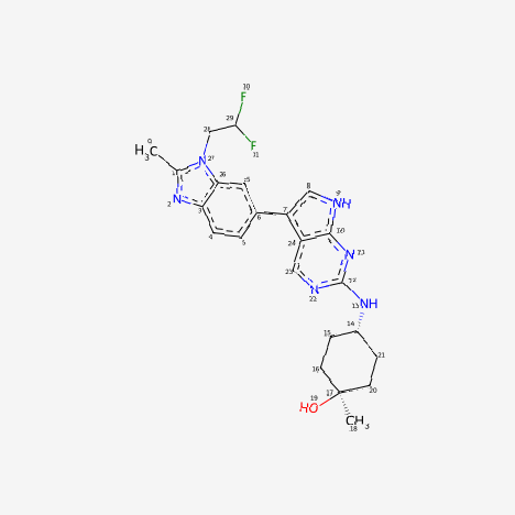 Cc1nc2ccc(-c3c[nH]c4nc(N[C@H]5CC[C@](C)(O)CC5)ncc34)cc2n1CC(F)F